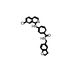 O=C(NCc1ccc2c(c1)CCO2)C1=CC=C(Nc2nccc3ccc(Cl)cc23)C=CC1